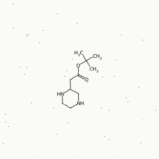 CC(C)(C)OC(=O)CC1CNCCN1